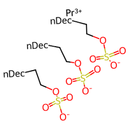 CCCCCCCCCCCCOS(=O)(=O)[O-].CCCCCCCCCCCCOS(=O)(=O)[O-].CCCCCCCCCCCCOS(=O)(=O)[O-].[Pr+3]